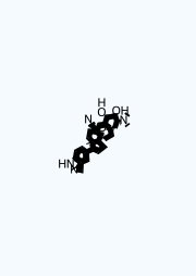 CN(C)[C@H]1C[C@@]23CC[C@]4(O2)C2CC=C(c5ccc6[nH]ncc6c5)[C@@]2(C)CCC4(C#N)C=C3[C@@H](O)[C@@H]1O